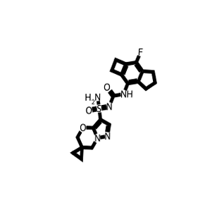 NS(=O)(=NC(=O)Nc1c2c(c(F)c3c1CC3)CCC2)c1cnn2c1OCC1(CC1)C2